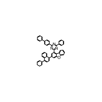 C1=CC(c2ccc(-c3cc(-c4nc(-c5ccccc5)nc(-c5ccc(-c6ccccc6)cc5)n4)c4c(c3)oc3ccccc34)c3ccccc23)=CCC1